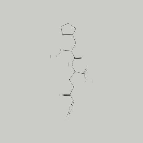 COC(CC1CCCC1)C(=O)NC(CCC(=O)C=[N+]=[N-])C(=O)O